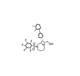 Cc1cccc(-c2ccc([C@H]3C4CN(S(=O)(=O)c5c(F)c(F)c(F)c(F)c5F)CCCCN4[C@@H]3CO)cc2)c1C